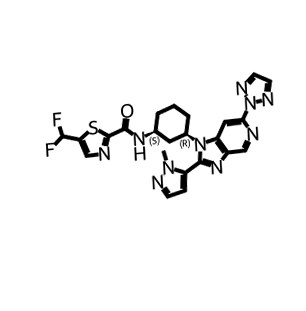 Cn1nccc1-c1nc2cnc(-n3nccn3)cc2n1[C@@H]1CCC[C@H](NC(=O)c2ncc(C(F)F)s2)C1